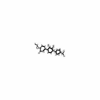 CCOC1C=CC(c2ccc(-c3ccc(C(C)C)cc3)c(F)c2F)=C[C@@H]1C